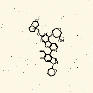 C=Cc1c(C)cc2c(cnn2C2CCCCO2)c1-c1nccc2c1sc1nc(OC[C@@]34CCCN3C[C@H](F)C4)nc(N3CCOC[C@@](C)(O)C3)c12